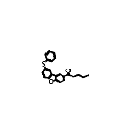 CCCCC(=O)c1ccc2oc3ccc(Sc4ccccc4)cc3c2c1